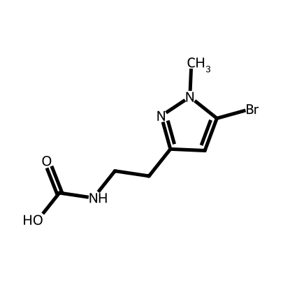 Cn1nc(CCNC(=O)O)cc1Br